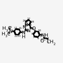 C=CC(=O)Nc1cccc(Oc2nc(Nc3ccc(N(C)C)cc3)nn3cccc23)c1